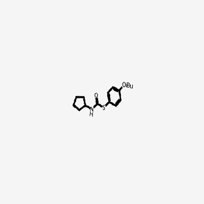 CC(C)COc1ccc(SC(=O)NC2CCCC2)cc1